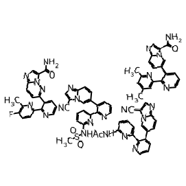 CC(=O)Nc1cccc(-c2ncccc2-c2ccc3ncc(C#N)n3c2)n1.CS(=O)(=O)Nc1cccc(-c2ncccc2-c2ccc3ncc(C#N)n3c2)n1.Cc1cc(C)nc(-c2ncccc2-c2ccc3ncc(C(N)=O)n3c2)c1.Cc1nc(-c2ncccc2-c2ccc3ncc(C(N)=O)n3n2)ccc1F